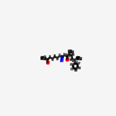 CC(C)(C)C(=O)CCCCCNCC(=O)C(CCC(c1ccccc1)C(C)(C)C)C(C)(C)C